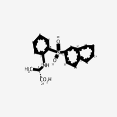 C[C@H](Nc1ccccc1S(=O)(=O)c1ccc2ccccc2c1)C(=O)O